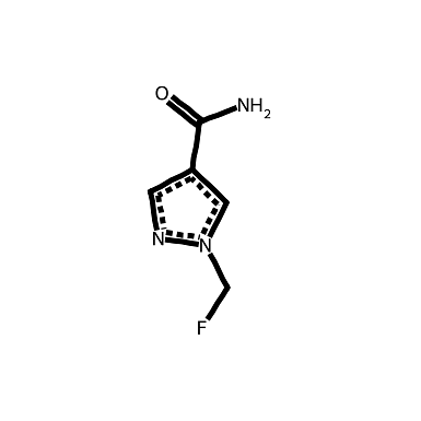 NC(=O)c1cnn(CF)c1